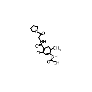 CC(=O)NC1=CC(Cl)=C(C(=O)NCC(=O)N2CCCC2)CC1C